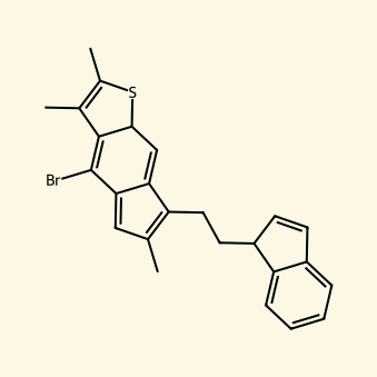 CC1=C(CCC2C=Cc3ccccc32)C2=CC3SC(C)=C(C)C3=C(Br)C2=C1